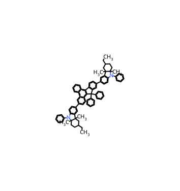 CCC1CCC2(C)N(c3ccccc3)c3ccc(-c4ccc5c(c4)C(c4ccccc4)(c4ccccc4)c4c-5c5ccccc5c5cc(-c6ccc7c(c6)C6(C)CC(CC)CCC6(C)N7c6ccccc6)ccc45)cc3C2(C)C1